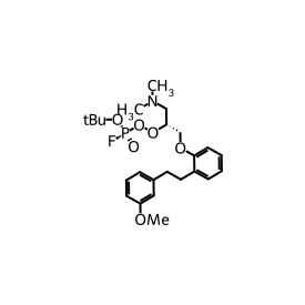 COc1cccc(CCc2ccccc2OC[C@@H](CN(C)C)OO[P@@](=O)(F)OC(C)(C)C)c1